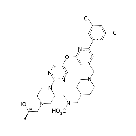 C[C@@H](O)CN1CCN(c2ncc(Oc3cc(CN4CCC(CN(C)C(=O)O)CC4)cc(-c4cc(Cl)cc(Cl)c4)n3)cn2)CC1